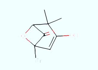 CC(C)C12C=C(O)C(C)(C)C(O1)C2=O